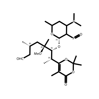 CO[C@](C)(C[C@@H](C)CC=O)[C@H](O[C@@H]1OC(C)CC(N(C)C)C1P=O)[C@@H](C)C1=C(C)C(=O)OC(C)(C)O1